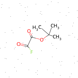 CC(C)(C)OC(=O)C(=O)F